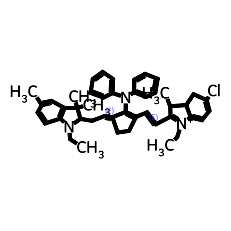 CCN1c2ccc(C)cc2C(C)(C)C1C/C=C1\CCC(/C=C/C2=[N+](CC)C3=CC=C(Cl)CC3C2C)=C1N(c1ccccc1)c1ccccc1